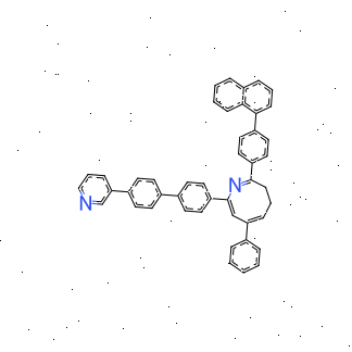 C1=C(c2ccc(-c3ccc(-c4cccnc4)cc3)cc2)\N=C(\c2ccc(-c3cccc4ccccc34)cc2)CC\C=C/1c1ccccc1